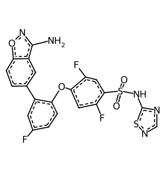 Nc1noc2ccc(-c3cc(F)ccc3Oc3cc(F)c(S(=O)(=O)Nc4ncns4)cc3F)cc12